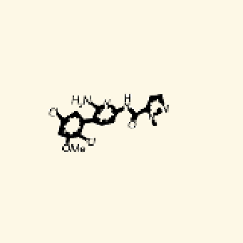 COc1cc(Cl)cc(-c2ccc(NC(=O)c3ccnn3C)nc2N)c1Cl